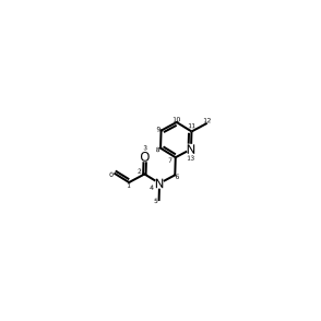 C=CC(=O)N(C)Cc1cccc(C)n1